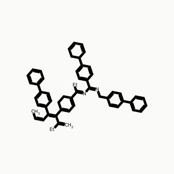 C=C(CC)/C(C1=CC=C(/C(CC)=N/C(=N\Cc2ccc(-c3ccccc3)cc2)c2ccc(C3C=CC=CC3)cc2)CC1)=C(\C=C/C)c1ccc(-c2ccccc2)cc1